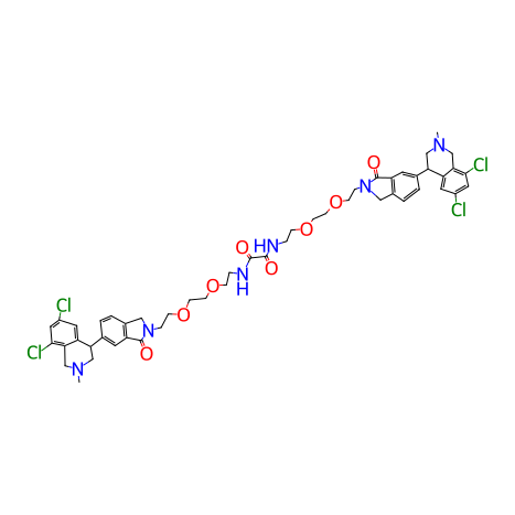 CN1Cc2c(Cl)cc(Cl)cc2C(c2ccc3c(c2)C(=O)N(CCOCCOCCNC(=O)C(=O)NCCOCCOCCN2Cc4ccc(C5CN(C)Cc6c(Cl)cc(Cl)cc65)cc4C2=O)C3)C1